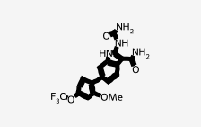 COc1cc(OC(F)(F)F)ccc1-c1ccc2c(C(N)=O)c(NC(N)=O)[nH]c2c1